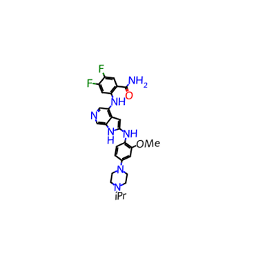 COc1cc(N2CCN(C(C)C)CC2)ccc1Nc1cc2c(Nc3cc(F)c(F)cc3C(N)=O)cncc2[nH]1